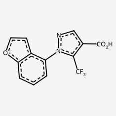 O=C(O)c1cnn(-c2cccc3occc23)c1C(F)(F)F